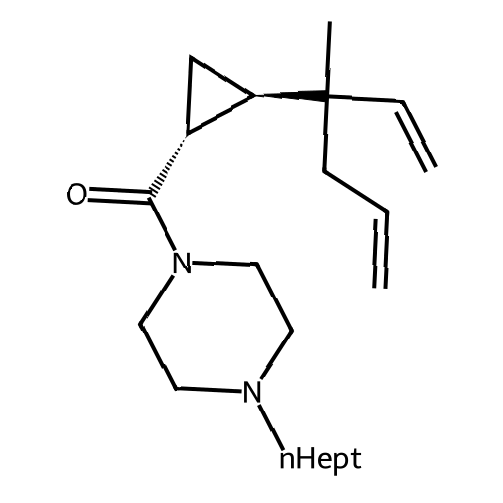 C=CCC(C)(C=C)[C@@H]1C[C@H]1C(=O)N1CCN(CCCCCCC)CC1